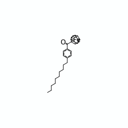 CCCCCCCCCCc1ccc(C(=O)[C]23[CH]4[CH]5[CH]6[CH]2[Fe]56432789[CH]3[CH]2[CH]7[CH]8[CH]39)cc1